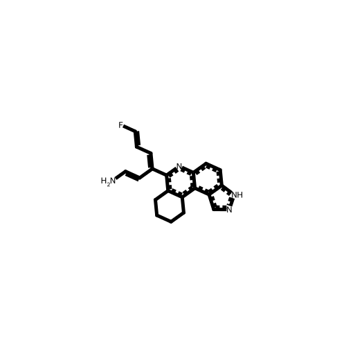 N/C=C/C(=C\C=C\F)c1nc2ccc3[nH]ncc3c2c2c1CCCC2